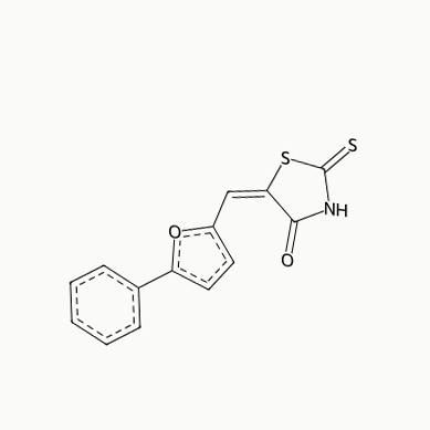 O=C1NC(=S)SC1=Cc1ccc(-c2ccccc2)o1